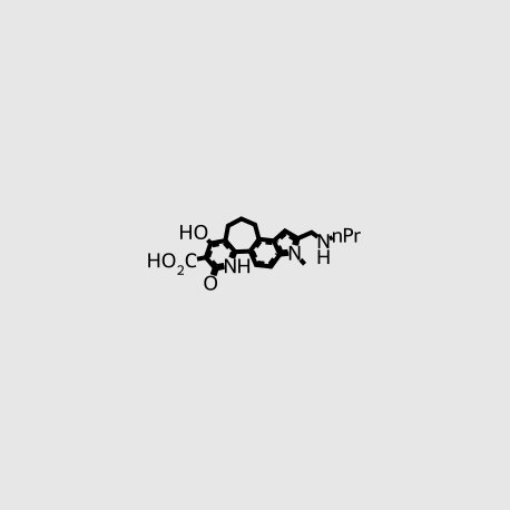 CCCNCc1cc2c3c(ccc2n1C)-c1[nH]c(=O)c(C(=O)O)c(O)c1CCC3